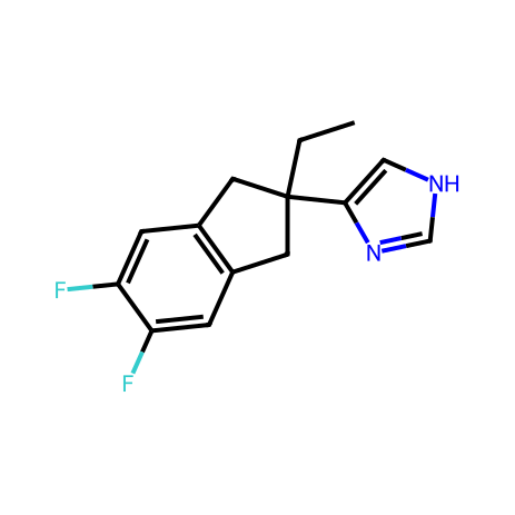 CCC1(c2c[nH]cn2)Cc2cc(F)c(F)cc2C1